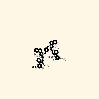 CN1/C(=C/C=C/C2=[N+](Cc3ccc(C[N+]4=C(/C=C/C=C5/N(C)c6c(Br)cc([N+](=O)[O-])cc6C56CCCCC6)C(C)(C)c5c4ccc4ccccc54)cc3)c3ccc4ccccc4c3C2(C)C)C2(CCCCC2)c2cc([N+](=O)[O-])cc(Br)c21